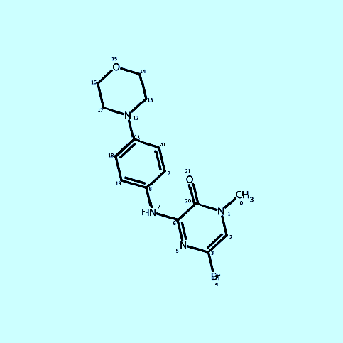 Cn1cc(Br)nc(Nc2ccc(N3CCOCC3)cc2)c1=O